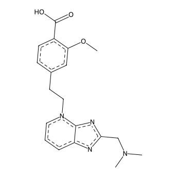 COc1cc(CCn2cccc3nc(CN(C)C)nc2-3)ccc1C(=O)O